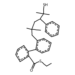 CCSC(=O)c1ccccc1-c1ccccc1CC(C)(C)CC(c1ccccc1)C(C)(C)S